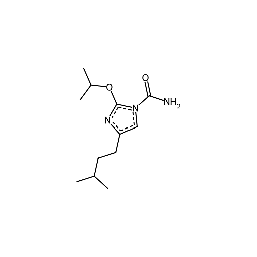 CC(C)CCc1cn(C(N)=O)c(OC(C)C)n1